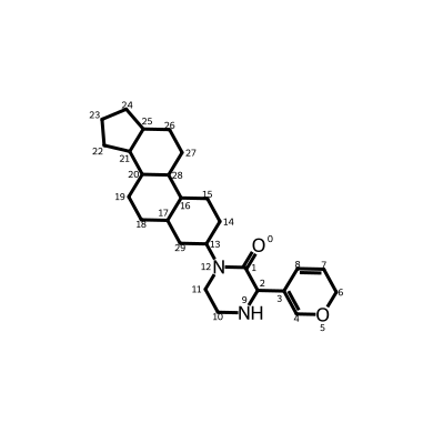 O=C1C(C2=COCC=C2)NCCN1C1CCC2C(CCC3C4CCCC4CCC23)C1